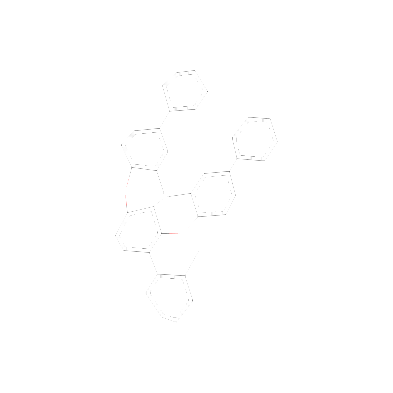 Cc1ccccc1-c1ccc2c3c1Oc1ccc(-c4ccccc4)cc1B3c1cc(-c3ccccc3)ccc1O2